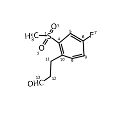 CS(=O)(=O)c1cc(F)ccc1CCC=O